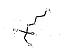 CCCSSC(C)(C)CC